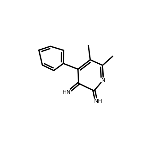 CC1=NC(=N)C(=N)C(c2ccccc2)=C1C